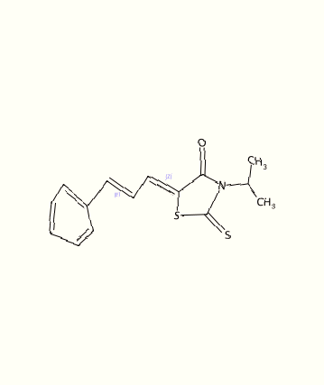 CC(C)N1C(=O)/C(=C/C=C/c2ccccc2)SC1=S